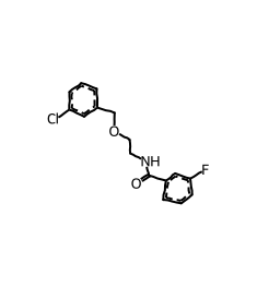 O=C(NCCOCc1cccc(Cl)c1)c1cccc(F)c1